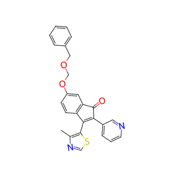 Cc1ncsc1C1=C(c2cccnc2)C(=O)c2cc(OCOCc3ccccc3)ccc21